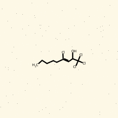 CCCCCC(Cl)=CC(O)C(Cl)(Cl)Cl